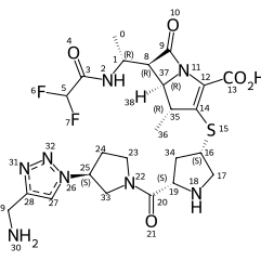 C[C@@H](NC(=O)C(F)F)[C@H]1C(=O)N2C(C(=O)O)=C(S[C@@H]3CN[C@H](C(=O)N4CC[C@H](n5cc(CN)nn5)C4)C3)[C@H](C)[C@@H]12